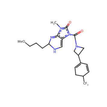 COCCCC1N=c2c(n(C(=O)N3CC(C4=CCC(C(F)(F)F)C=C4)C3)c(=O)n2C)=CN1